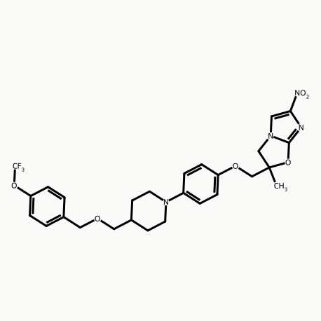 CC1(COc2ccc(N3CCC(COCc4ccc(OC(F)(F)F)cc4)CC3)cc2)Cn2cc([N+](=O)[O-])nc2O1